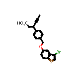 CC#CC(CC(=O)O)c1ccc(COc2ccc3scc(Br)c3c2)cc1